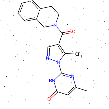 Cc1cc(=O)[nH]c(-n2ncc(C(=O)N3CCc4ccccc4C3)c2C(F)(F)F)n1